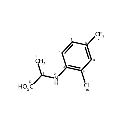 CC(Nc1ccc(C(F)(F)F)cc1Cl)C(=O)O